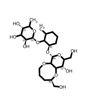 CC1CCC[C@@H](O[C@@H]2OC(CO)[C@H](O)C3O[C@@H](CO)CCCOC32)C1O[C@@H]1OC(C)[C@@H](O)C(O)[C@@H]1O